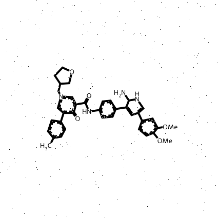 COc1ccc(C2=CNC(N)C(c3ccc(NC(=O)c4cn(CC5CCOC5)cc(-c5ccc(C)cc5)c4=O)cc3)=C2)cc1OC